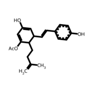 C=C(C)CCC1C(OC(C)=O)=CC(O)=CC1C=Cc1ccc(O)cc1